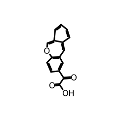 O=C(O)C(=O)c1ccc2c(c1)C=c1ccccc1=CO2